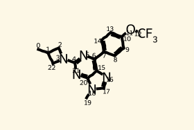 CC1CN(c2nc(-c3ccc(OC(F)(F)F)cc3)c3ncn(C)c3n2)C1